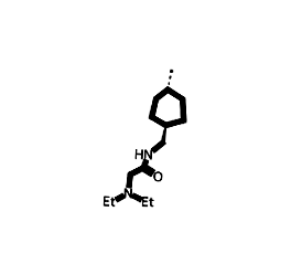 CCN(CC)CC(=O)NC[C@H]1CC[C@H](C)CC1